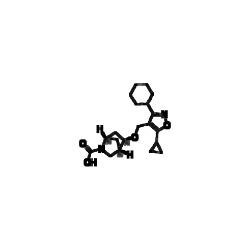 O=C(O)N1C[C@@H]2C[C@H]1C[C@H]2OCc1c(C2CCCCC2)noc1C1CC1